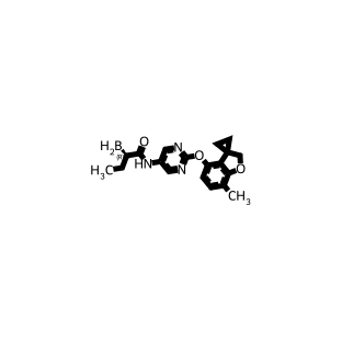 B[C@H](CC)C(=O)Nc1cnc(Oc2ccc(C)c3c2C2(CC2)CO3)nc1